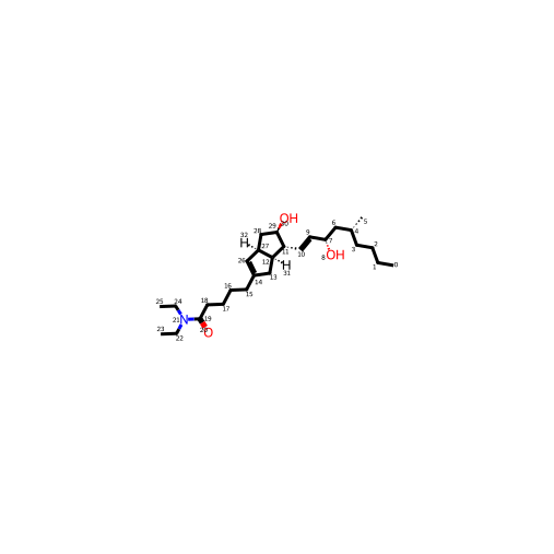 CCCC[C@@H](C)C[C@H](O)/C=C/[C@@H]1[C@H]2CC(CCCCC(=O)N(CC)CC)=C[C@H]2C[C@H]1O